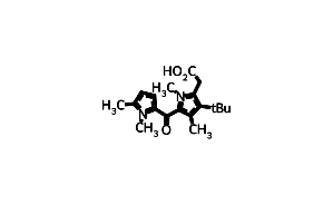 Cc1c(C(C)(C)C)c(CC(=O)O)n(C)c1C(=O)c1ccc(C)n1C